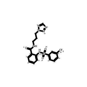 O=C(NCCCn1ncnn1)c1ccccc1NS(=O)(=O)c1cccc(C(F)(F)F)c1